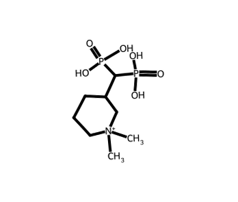 C[N+]1(C)CCCC(C(P(=O)(O)O)P(=O)(O)O)C1